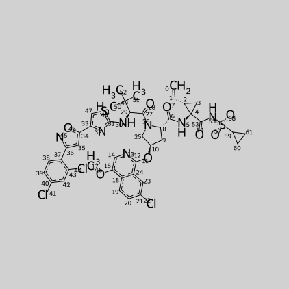 C=C[C@@H]1C[C@]1(NC(=O)[C@@H]1C[C@@H](Oc2ncc(OC)c3ccc(Cl)cc23)CN1C(=O)[C@@H](Nc1nc(-c2cc(-c3ccc(Cl)cc3Cl)no2)cs1)C(C)(C)C)C(=O)NS(=O)(=O)C1CC1